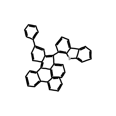 c1ccc(-c2ccc3c(-c4ccccc4-c4ccccc4)c4ccccc4c(-c4cccc5c4sc4ccccc45)c3c2)cc1